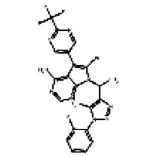 Cc1c(C(C)n2c(Br)c(-c3cnc(C(F)(F)F)nc3)c3c(N)ncnc32)nnn1-c1ccccc1F